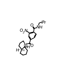 CC(C)CNC(=O)c1ccc(C(=O)N2CCC[C@@H]3CCCC[C@H]32)cc1[N+](=O)[O-]